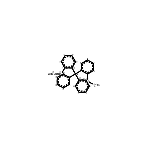 CCCCCCOc1ccccc1C(c1ccccc1)(c1ccccc1)c1ccccc1OCCCCCC